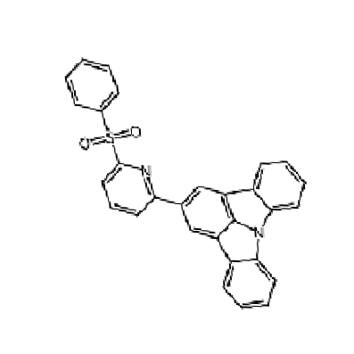 O=S(=O)(c1ccccc1)c1cccc(-c2cc3c4ccccc4n4c5ccccc5c(c2)c34)n1